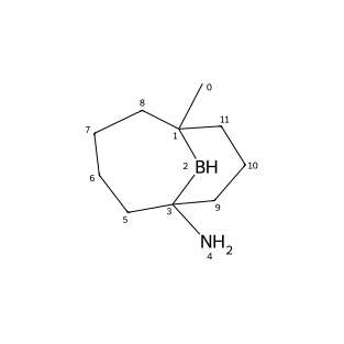 CC12BC(N)(CCCC1)CCC2